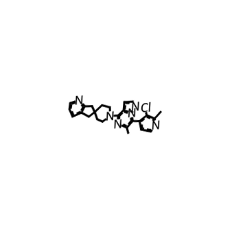 Cc1nccc(-c2c(C)nc(N3CCC4(CC3)Cc3cccnc3C4)c3ccnn23)c1Cl